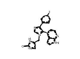 O=c1[nH]cc(Cn2cnc(-c3ccc(F)cc3)c2-c2ccnc3[nH]ccc23)[nH]1